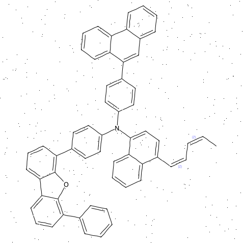 C/C=C\C=C/c1ccc(N(c2ccc(-c3cc4ccccc4c4ccccc34)cc2)c2ccc(-c3cccc4c3oc3c(-c5ccccc5)cccc34)cc2)c2ccccc12